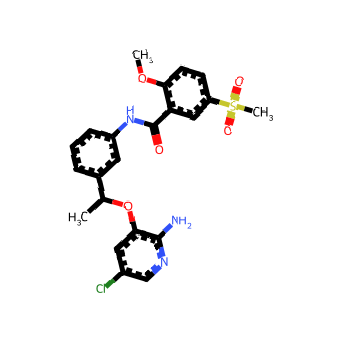 COc1ccc(S(C)(=O)=O)cc1C(=O)Nc1cccc(C(C)Oc2cc(Cl)cnc2N)c1